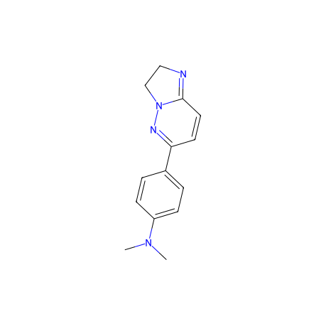 CN(C)c1ccc(C2=NN3CCN=C3C=C2)cc1